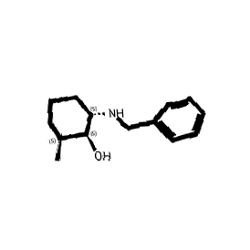 C[C@H]1CCC[C@H](NCc2ccccc2)[C@H]1O